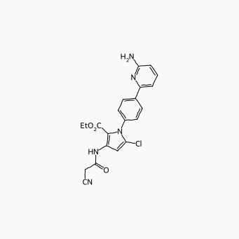 CCOC(=O)c1c(NC(=O)CC#N)cc(Cl)n1-c1ccc(-c2cccc(N)n2)cc1